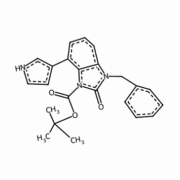 CC(C)(C)OC(=O)n1c(=O)n(Cc2ccccc2)c2cccc(-c3cc[nH]c3)c21